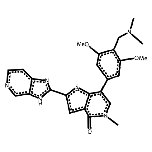 COc1cc(-c2cn(C)c(=O)c3cc(-c4nc5ccncc5[nH]4)sc23)cc(OC)c1CN(C)C